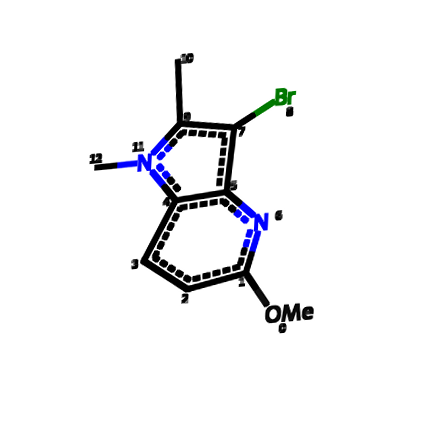 COc1ccc2c(n1)c(Br)c(C)n2C